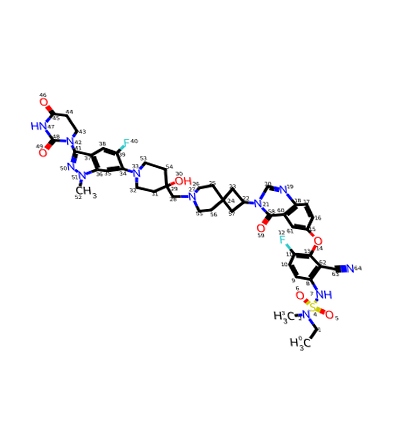 CCN(C)S(=O)(=O)Nc1ccc(F)c(Oc2ccc3ncn(C4CC5(CCN(CC6(O)CCN(c7cc8c(cc7F)c(N7CCC(=O)NC7=O)nn8C)CC6)CC5)C4)c(=O)c3c2)c1C#N